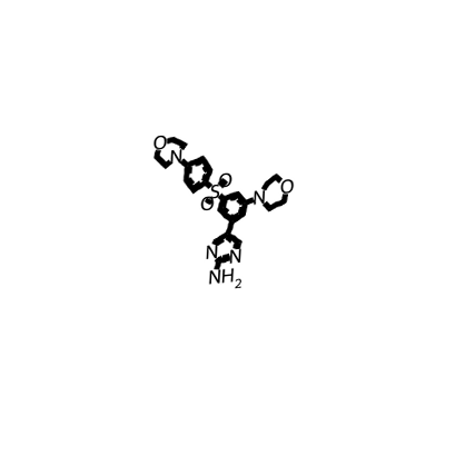 Nc1ncc(-c2cc(N3CCOCC3)cc(S(=O)(=O)c3ccc(N4CCOCC4)cc3)c2)cn1